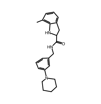 Cc1cccc2c1NC(C(=O)NCc1cccc(N3CCCCC3)c1)C2